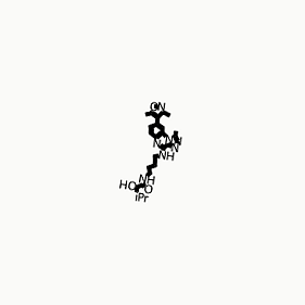 Cc1noc(C)c1-c1ccc2nc(NCCCCNC(=O)C(O)C(C)C)c3nnc(C)n3c2c1